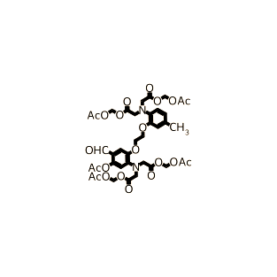 CC(=O)OCOC(=O)CN(CC(=O)OCOC(C)=O)c1ccc(C)cc1OCCOc1cc(C=O)c(OC(C)=O)cc1N(CC(=O)OCOC(C)=O)CC(=O)OCOC(C)=O